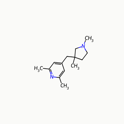 Cc1cc(CC2(C)CCN(C)C2)cc(C)n1